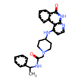 CC(NC(=O)CN1CCC(Nc2ccnc3[nH]c(=O)c4ccccc4c23)CC1)c1ccccc1